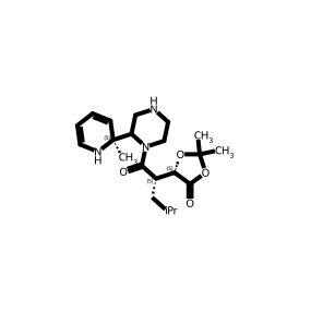 CC(C)C[C@H](C(=O)N1CCNCC1[C@]1(C)C=CC=CN1)[C@@H]1OC(C)(C)OC1=O